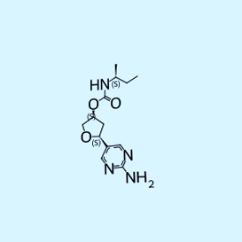 CC[C@H](C)NC(=O)O[C@@H]1CO[C@H](c2cnc(N)nc2)C1